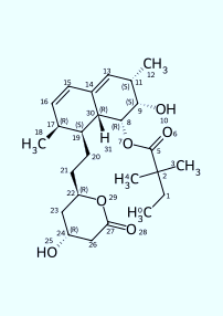 CCC(C)(C)C(=O)O[C@H]1[C@@H](O)[C@@H](C)C=C2C=C[C@H](C)[C@H](CC[C@@H]3C[C@@H](O)CC(=O)O3)[C@H]21